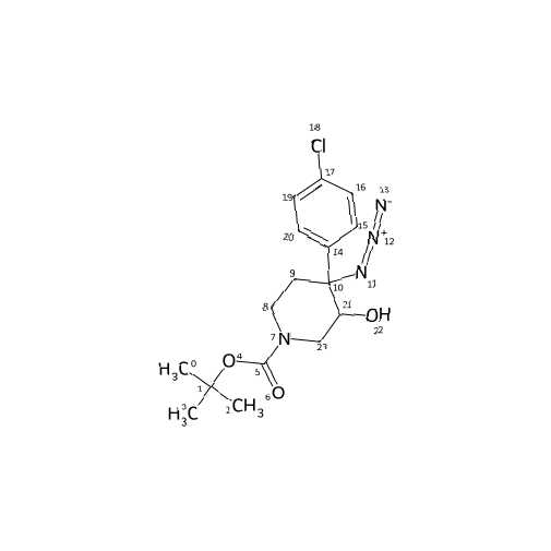 CC(C)(C)OC(=O)N1CCC(N=[N+]=[N-])(c2ccc(Cl)cc2)C(O)C1